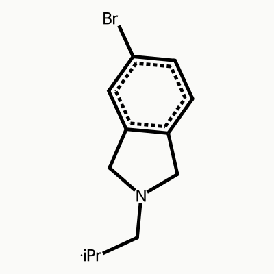 C[C](C)CN1Cc2ccc(Br)cc2C1